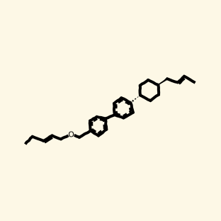 CC=CC[C@H]1CC[C@H](c2ccc(-c3ccc(COCC=CCC)cc3)cc2)CC1